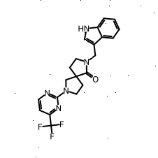 O=C1N(Cc2c[nH]c3ccccc23)CCC12CCN(c1nccc(C(F)(F)F)n1)C2